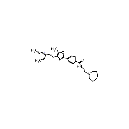 C=C/C=C(\C=C)SCc1nc(-c2ccc(C(=O)NCCN3CCCCCC3)cc2)oc1C